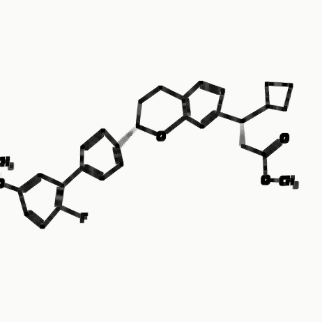 COC(=O)C[C@H](c1ccc2c(c1)O[C@H](c1ccc(-c3cc(OC)ccc3F)cc1)CC2)C1CCC1